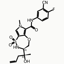 C=CC[C@@](C)(O)[C@@H]1COc2c(cn(C)c2C(=O)Nc2ccc(F)c(C#N)c2)S(=O)(=O)N1